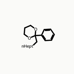 CCCCCCCCC1(c2ccccc2)OCCCO1